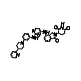 O=C1CCC(N2Cc3c(Nc4ccnc(Nc5cccc(N6CCC(c7ccccn7)CC6)c5)n4)cccc3C2=O)C(=O)N1